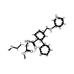 COC(=O)[C@H](CCSC)NC(=O)c1ccc(CSc2cccnc2)cc1-c1ccccc1